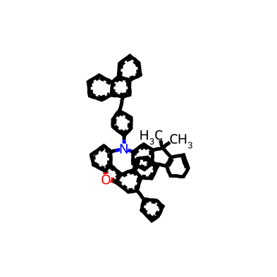 CC1(C)C2=C(CCC=C2)c2ccc(N(c3ccc(-c4cc5ccccc5c5ccccc45)cc3)c3cccc4oc5cc(-c6ccccc6)c6ccccc6c5c34)cc21